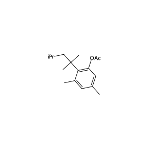 CC(=O)Oc1cc(C)cc(C)c1C(C)(C)CC(C)C